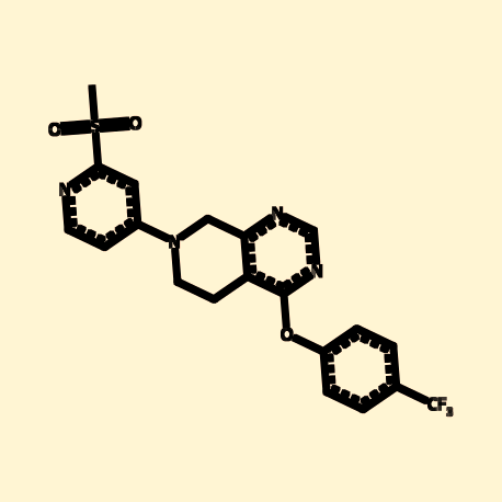 CS(=O)(=O)c1cc(N2CCc3c(ncnc3Oc3ccc(C(F)(F)F)cc3)C2)ccn1